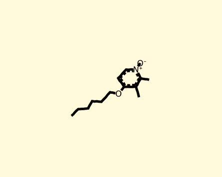 CCCCCCOc1cc[n+]([O-])c(C)c1C